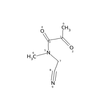 CC(=O)C(=O)N(C)CC#N